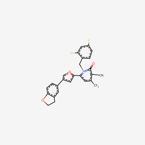 N#Cc1c(C(F)(F)F)cc(-c2cc(-c3ccc4c(c3)CCO4)co2)n(Cc2ccc(F)cc2F)c1=O